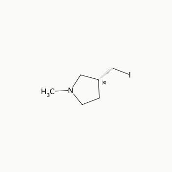 CN1CC[C@@H](CI)C1